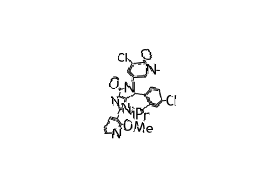 COc1ncccc1-c1nc2c(n1C(C)C)C(c1ccc(Cl)cc1C)N(c1cc(Cl)c(=O)n(C)c1)C2=O